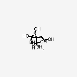 BC(O)(O)C1(CCO)B(O)C1(B)O